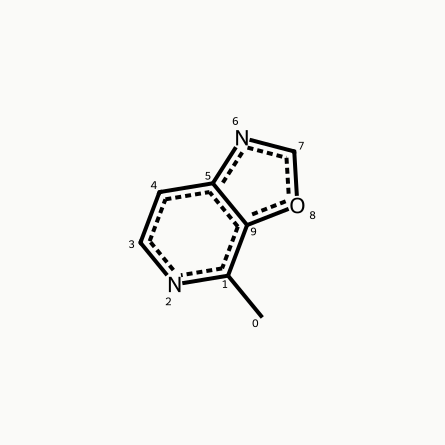 Cc1nccc2ncoc12